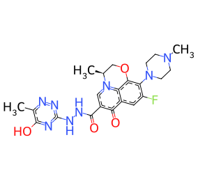 Cc1nnc(NNC(=O)c2cn3c4c(c(N5CCN(C)CC5)c(F)cc4c2=O)OC[C@@H]3C)nc1O